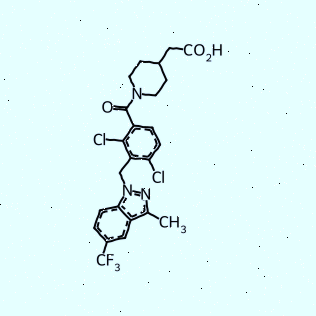 Cc1nn(Cc2c(Cl)ccc(C(=O)N3CCC(CC(=O)O)CC3)c2Cl)c2ccc(C(F)(F)F)cc12